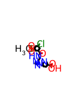 CS(=O)(=O)c1cc(Cl)cc(C(=O)NCc2ncnn2-c2ccc(C(=O)O)cn2)c1